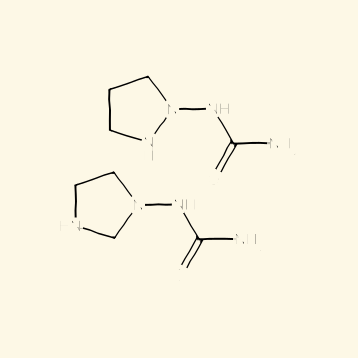 NC(=O)NN1CCCN1.NC(=O)NN1CCNC1